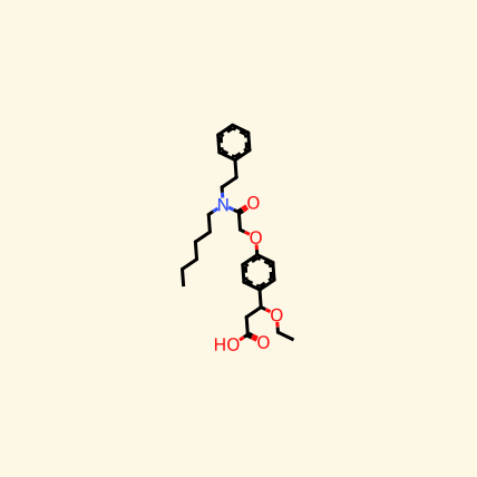 CCCCCCN(CCc1ccccc1)C(=O)COc1ccc(C(CC(=O)O)OCC)cc1